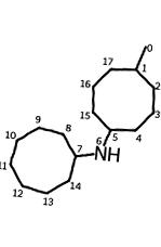 CC1CCCC(NC2CCCCCCC2)CCC1